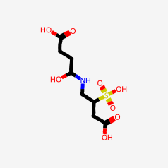 O=C(O)CCC(O)NCC(CC(=O)O)S(=O)(=O)O